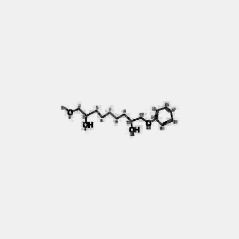 COCC(O)CCCCCC(O)COc1ccccc1